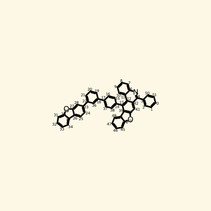 c1ccc(-c2nc3ccccc3c3c(-c4ccc(-c5cccc(-c6ccc7c(c6)oc6ccccc67)c5)cc4)c4c(cc23)oc2ccccc24)cc1